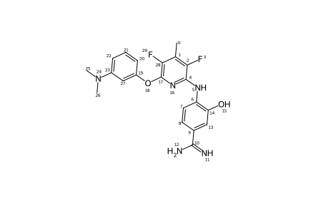 Cc1c(F)c(Nc2ccc(C(=N)N)cc2O)nc(Oc2cccc(N(C)C)c2)c1F